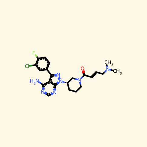 CN(C)C/C=C/C(=O)N1CCC[C@@H](n2nc(-c3ccc(F)c(Cl)c3)c3c(N)ncnc32)C1